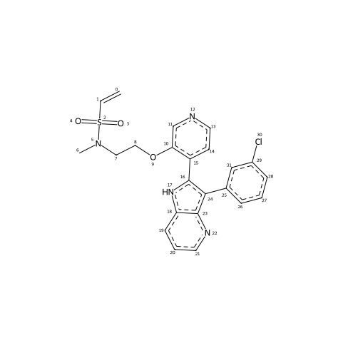 C=CS(=O)(=O)N(C)CCOc1cnccc1-c1[nH]c2cccnc2c1-c1cccc(Cl)c1